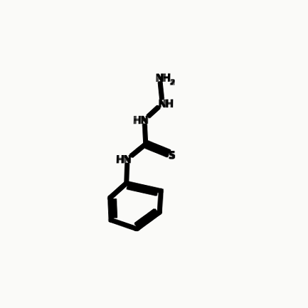 NNNC(=S)Nc1ccccc1